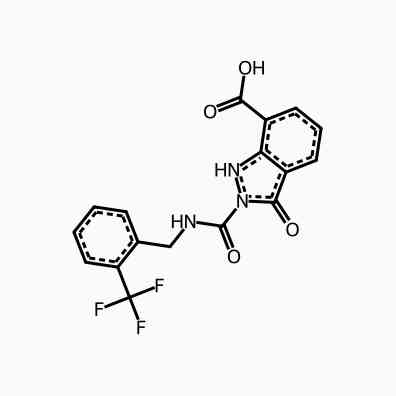 O=C(O)c1cccc2c(=O)n(C(=O)NCc3ccccc3C(F)(F)F)[nH]c12